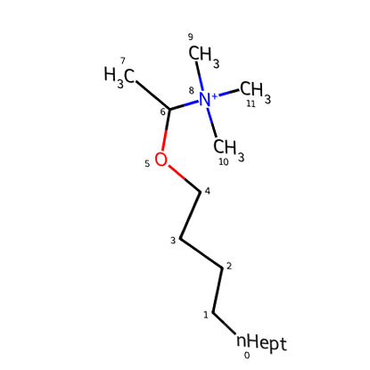 CCCCCCCCCCCOC(C)[N+](C)(C)C